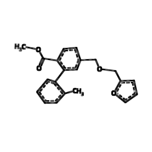 COC(=O)c1ccc(COCc2ccco2)cc1-c1ccccc1C